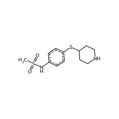 CS(=O)(=O)Nc1ccc(SC2CCNCC2)cc1